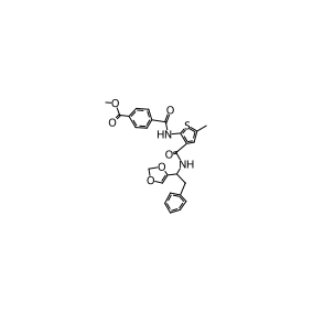 COC(=O)c1ccc(C(=O)Nc2sc(C)cc2C(=O)NC(Cc2ccccc2)C2=COCO2)cc1